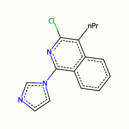 CCCc1c(Cl)nc(-n2ccnc2)c2ccccc12